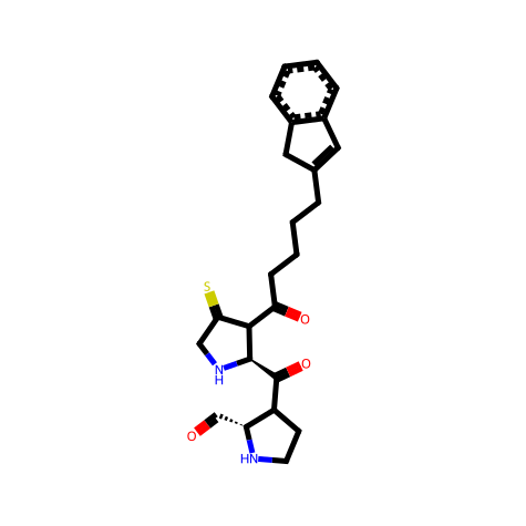 O=C[C@H]1NCCC1C(=O)[C@H]1NCC(=S)C1C(=O)CCCCC1=Cc2ccccc2C1